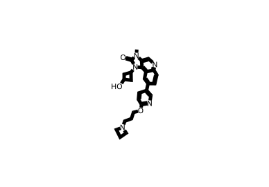 Cn1c(=O)n(C2CC(O)C2)c2c3cc(-c4ccc(OCCCN5CCC5)nc4)ccc3ncc21